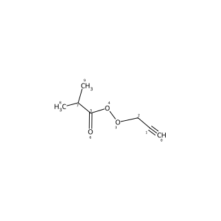 C#CCOOC(=O)C(C)C